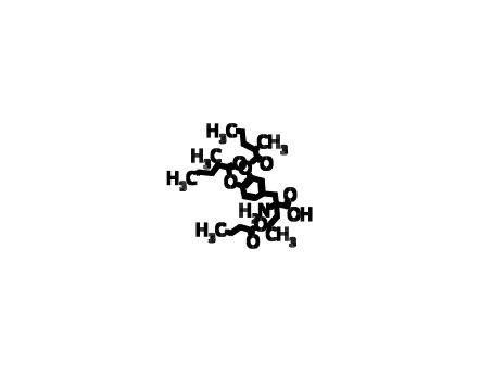 CCCC(=O)O[C@@H](C)CC(N)(Cc1ccc(OC(=O)C(C)CCC)c(OC(=O)C(C)CCC)c1)C(=O)O